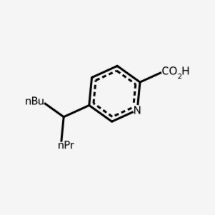 CCCCC(CCC)c1ccc(C(=O)O)nc1